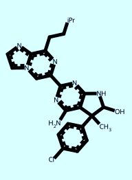 CC(C)CCc1nc(-c2nc(N)c3c(n2)NC(O)C3(C)c2ccc(Cl)cc2)cn2ccnc12